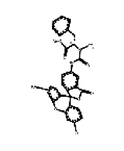 COC(=O)[C@H](Cc1ccccc1)N(C(=O)Nc1ccc2c(c1)C(=O)OC21c2ccc(O)cc2Oc2cc(O)ccc21)C(F)(F)F